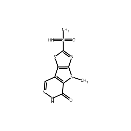 Cn1c2nc(S(C)(=N)=O)sc2c2cn[nH]c(=O)c21